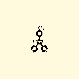 FC(F)(F)c1ccc(-c2nc(-c3ccncc3)c(-c3ccncc3)[nH]2)cc1